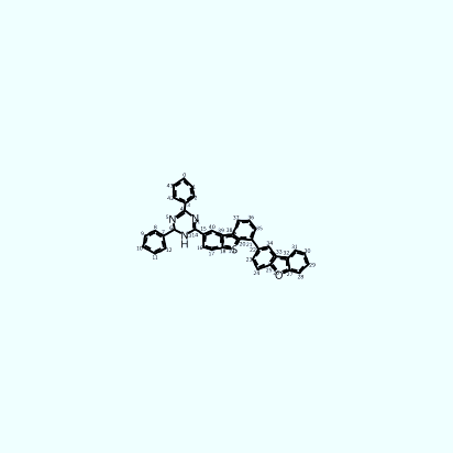 c1ccc(C2=NC(c3ccccc3)NC(c3ccc4sc5c(-c6ccc7oc8ccccc8c7c6)cccc5c4c3)=N2)cc1